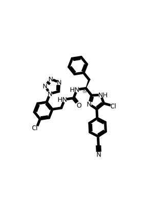 N#Cc1ccc(-c2nc([C@H](Cc3ccccc3)NC(=O)NCc3cc(Cl)ccc3-n3cnnn3)[nH]c2Cl)cc1